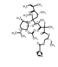 C/C=C(/C)C(=O)[C@H](C)CC(C)(OC)[C@H](O[C@H]1O[C@H](C)C[C@H](N(C)C)[C@H]1OC(C)=O)[C@@H](C)C(=O)C(C)(F)C(=O)O[C@H](CC)COC(=O)n1ccnc1